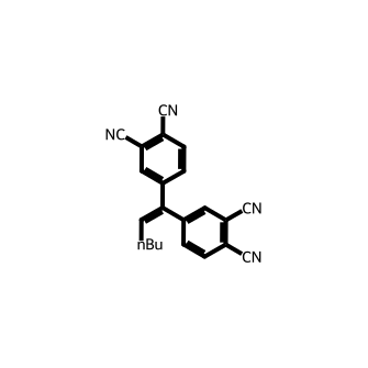 CCCCC=C(c1ccc(C#N)c(C#N)c1)c1ccc(C#N)c(C#N)c1